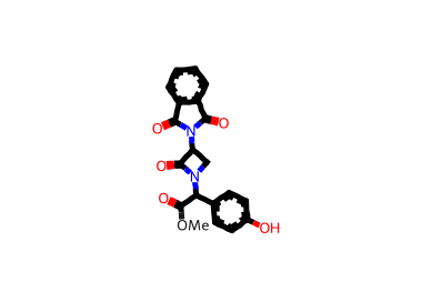 COC(=O)C(c1ccc(O)cc1)N1CC(N2C(=O)c3ccccc3C2=O)C1=O